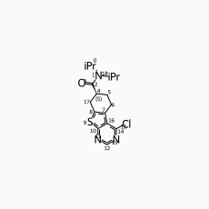 CC(C)N(C(=O)[C@H]1CCc2c(sc3ncnc(Cl)c23)C1)C(C)C